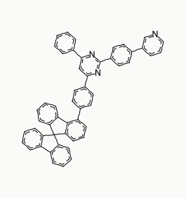 c1ccc(-c2cc(-c3ccc(-c4cccc5c4-c4ccccc4C54c5ccccc5-c5ccccc54)cc3)nc(-c3ccc(-c4cccnc4)cc3)n2)cc1